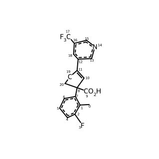 Cc1c(F)cccc1C1(C(=O)O)C=C(c2cncc(C(F)(F)F)c2)CC1